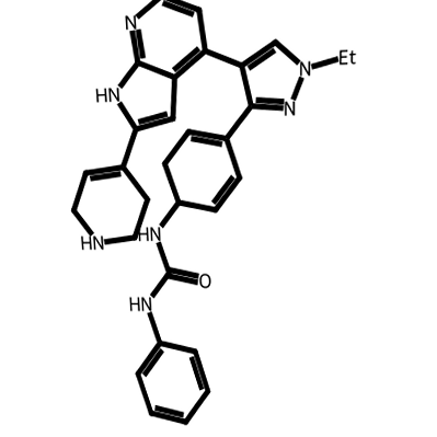 CCn1cc(-c2ccnc3[nH]c(C4=CCNCC4)cc23)c(C2=CCC(NC(=O)Nc3ccccc3)C=C2)n1